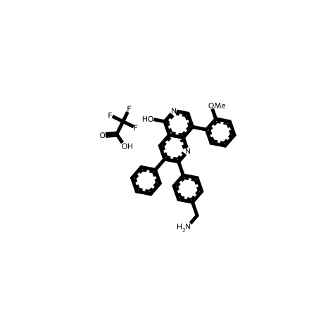 COc1ccccc1-c1cnc(O)c2cc(-c3ccccc3)c(-c3ccc(CN)cc3)nc12.O=C(O)C(F)(F)F